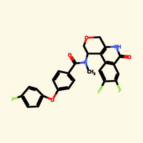 CN(C(=O)c1ccc(Oc2ccc(F)cc2)cc1)C1COCc2[nH]c(=O)c3cc(F)c(F)cc3c21